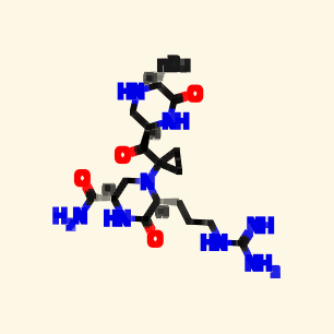 CCCC[C@H]1NC[C@H](C(=O)C2(N3C[C@@H](C(N)=O)NC(=O)[C@H]3CCCNC(=N)N)CC2)NC1=O